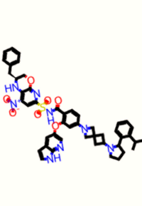 CC(C)c1ccccc1C1CCCN1C1CC2(C1)CN(c1ccc(C(=O)NS(=O)(=O)c3cc([N+](=O)[O-])c4c(n3)OC[C@H](Cc3ccccc3)N4)c(Oc3cnc4[nH]ccc4c3)c1)C2